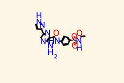 CC(=O)NS(=O)(=O)c1ccc(NC(=O)c2nc(-c3cc[nH]n3)cnc2N)cc1